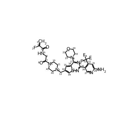 C=C(F)C(=O)NCC(=O)N1CCN(Cc2cc3c(N4CCOCC4)nc(-c4cnc(N)cc4C(F)(F)F)nn3c2)CC1